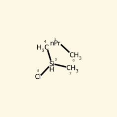 CCCC.C[SiH](C)Cl